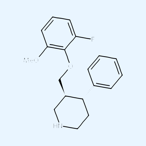 COc1cccc(F)c1OC[C@@H]1CNCC[C@H]1c1ccccc1